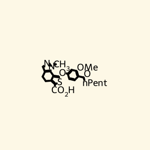 CCCCCC(=O)c1ccc(Oc2sc(C(=O)O)c3c2-c2c(cnn2C)CC3)cc1OC